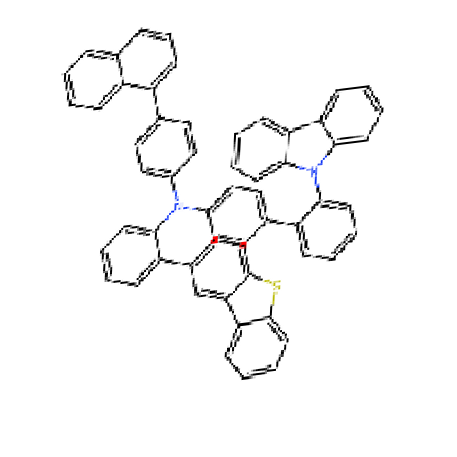 c1ccc(N(c2ccc(-c3ccccc3-n3c4ccccc4c4ccccc43)cc2)c2ccc(-c3cccc4ccccc34)cc2)c(-c2ccc3sc4ccccc4c3c2)c1